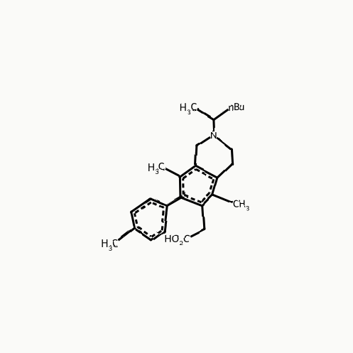 CCCCC(C)N1CCc2c(C)c(CC(=O)O)c(-c3ccc(C)cc3)c(C)c2C1